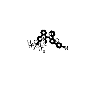 C=CC1C(C2c3ccc4c(oc5cc(C#N)ccc54)c3-c3cccc[n+]32)c2ccccc2-c2ccc(C(C)(C)C)c[n+]21